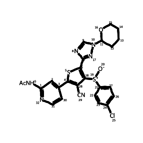 CC(=O)Nc1cc(-c2sc(-c3ncn(C4CCCCO4)n3)c([S+]([O-])c3ccc(Cl)cc3)c2C#N)ccn1